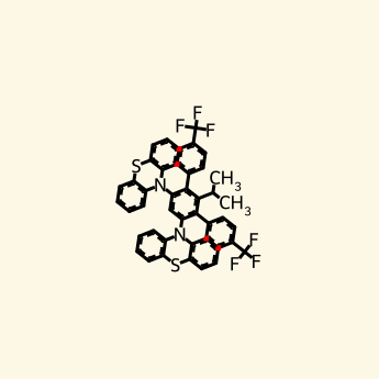 CC(C)c1c(-c2ccc(C(F)(F)F)cc2)c(N2c3ccccc3Sc3ccccc32)cc(N2c3ccccc3Sc3ccccc32)c1-c1ccc(C(F)(F)F)cc1